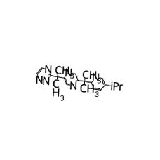 CC(C)c1ccc(C(C)(C)c2cnc(C(C)(C)c3nccnn3)cn2)nc1